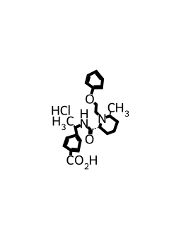 C[C@H](NC(=O)[C@H]1CCC[C@@H](C)N1CCOc1ccccc1)c1ccc(C(=O)O)cc1.Cl